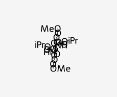 COCCOCCOCCOC(=O)[C@H](CSSC[C@H](NC(=O)CCC(=O)OCCC(C)C)C(=O)OCCOCCOCCOC)NC(=O)CCC(=O)OCCC(C)C